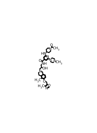 CC(=O)N1CCC(Nc2cc(C(=O)NCC(O)CN3CCc4c(ccc(OCc5ocnc5C)c4C)C3)cc(N3CCN(C)CC3)n2)CC1